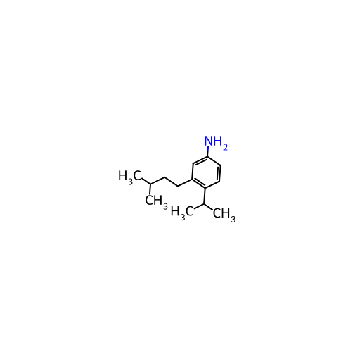 CC(C)CCc1cc(N)ccc1C(C)C